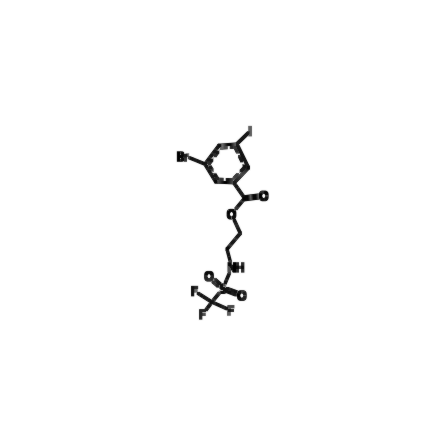 O=C(OCCNS(=O)(=O)C(F)(F)F)c1cc(Br)cc(I)c1